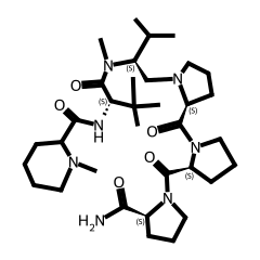 CC(C)[C@@H](CN1CCC[C@H]1C(=O)N1CCC[C@H]1C(=O)N1CCC[C@H]1C(N)=O)N(C)C(=O)[C@@H](NC(=O)C1CCCCN1C)C(C)(C)C